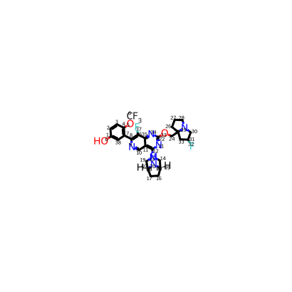 Oc1ccc(OC(F)(F)F)c(-c2ncc3c(N4C[C@H]5CC[C@@H](C4)N5)nc(OCC45CCCN4CC(F)C5)nc3c2F)c1